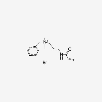 C=CC(=O)NCCC[N+](C)(C)Cc1ccccc1.[Br-]